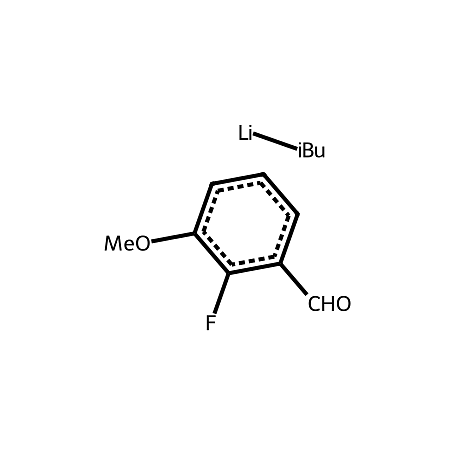 COc1cccc(C=O)c1F.[Li][CH](C)CC